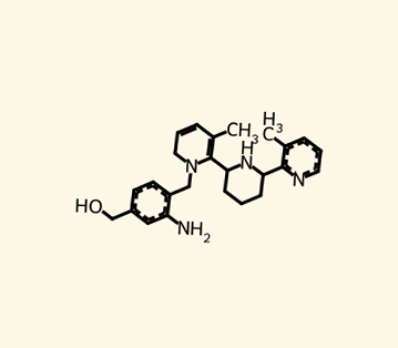 CC1=C(C2CCCC(c3ncccc3C)N2)N(Cc2ccc(CO)cc2N)CC=C1